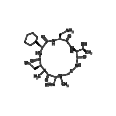 CCCCCCC1C(=O)N(C)[C@@H](CC(C)C)C(=O)N[C@@H](C2CCCCC2)C(=O)N[C@@H](CN)C(=O)N[C@@H]([C@H](C)O)C(=O)NCCN1C